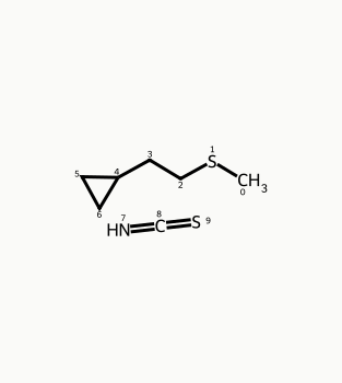 CSCCC1CC1.N=C=S